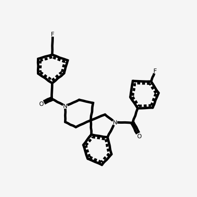 O=C(c1ccc(F)cc1)N1CCC2(CC1)CN(C(=O)c1ccc(F)cc1)c1ccccc12